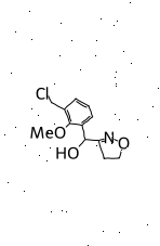 COc1c(CCl)cccc1C(O)C1=NOCC1